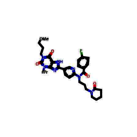 CCCn1c(=O)n(CCCOC)c(=O)c2[nH]c(-c3ccc(N(CCCN4CCCCC4=O)C(=O)c4ccc(F)cc4)nc3)nc21